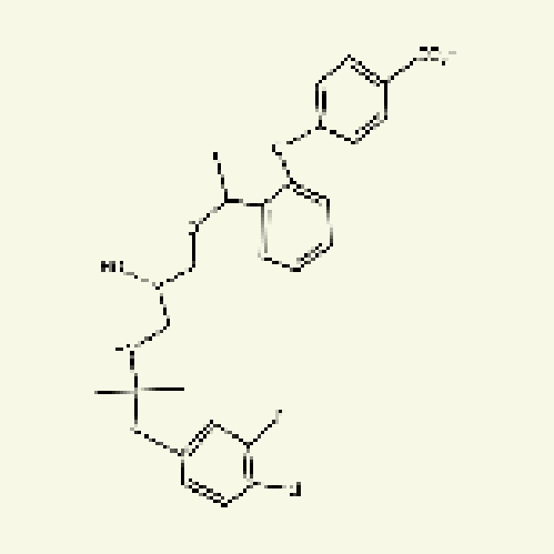 CC(OC[C@@H](O)CNC(C)(C)Cc1ccc(Cl)c(F)c1)c1ccccc1Oc1ccc(C(=O)O)cc1